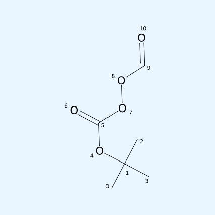 CC(C)(C)OC(=O)OOC=O